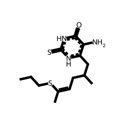 CCCS/C(C)=C\CC(C)Cc1[nH]c(=S)[nH]c(=O)c1N